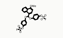 COc1ccc(C(Oc2ccc(OS(=O)(=O)F)cc2)Oc2ccc(OS(=O)(=O)F)cc2)c2ccccc12